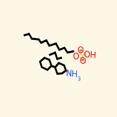 C1CCC(C2CCCCC2)CC1.CCCC.CCCCCCCCCCCCOS(=O)(=O)O.N